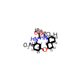 CC(C)(C)OC(=O)CNc1cc(Oc2ccc3cccc(NC(=O)O)c3c2)ccc1[N+](=O)[O-]